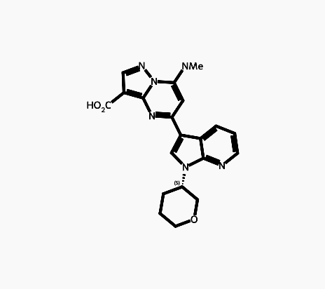 CNc1cc(-c2cn([C@H]3CCCOC3)c3ncccc23)nc2c(C(=O)O)cnn12